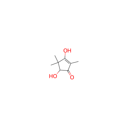 CC1=C(O)C(C)(C)C(O)C1=O